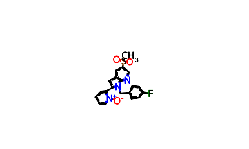 CS(=O)(=O)c1cnc2c(c1)cc(-c1cccc[n+]1[O-])n2Cc1ccc(F)cc1